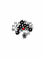 Cc1ccc(Br)c(-c2cc(C(C)C)c(/N=C/c3ccccn3)c(C(C)C)c2)c1-c1cc(C(C)C)c(/N=C/c2ccccn2)c(C(C)C)c1.[Br-].[Br-].[Br-].[Br-].[Cu+2].[Cu+2]